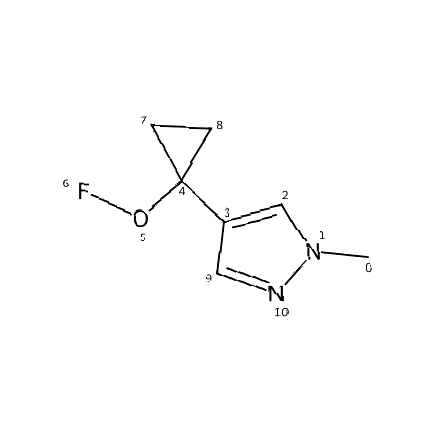 Cn1cc(C2(OF)CC2)cn1